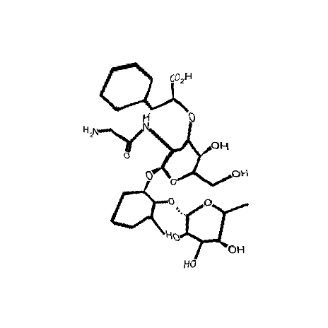 CC1CCC[C@@H](O[C@@H]2OC(CO)[C@H](O)C(O[C@@H](CC3CCCCC3)C(=O)O)C2NC(=O)CN)C1O[C@@H]1OC(C)[C@@H](O)C(O)C1O